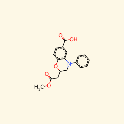 COC(=O)CC1CN(c2ccccc2)c2cc(C(=O)O)ccc2O1